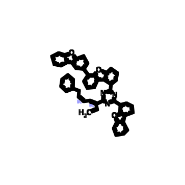 C=C/C(=C\C=C/Cc1ccccc1)c1nc(-c2cccc3c2oc2ccccc23)nc(-c2cccc3oc4c(-c5ccc6oc7ccccc7c6c5)cccc4c23)n1